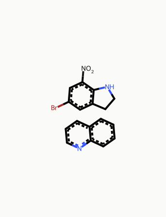 O=[N+]([O-])c1cc(Br)cc2c1NCC2.c1ccc2ncccc2c1